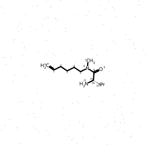 C=CCCCCN(C)C(=O)[C@@H](N)C(C)C